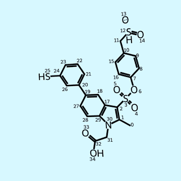 Cc1c(S(=O)(=O)Oc2ccc(C[SH](=O)=O)cc2)c2cc(-c3cccc(S)c3)ccc2n1CC(=O)O